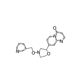 O=c1ccnc2cc(C3CN(OCc4cccnc4)CCO3)ccn12